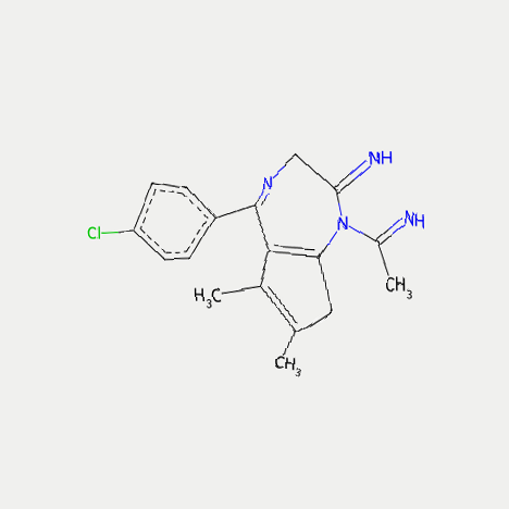 CC(=N)N1C(=N)CN=C(c2ccc(Cl)cc2)C2=C1CC(C)=C2C